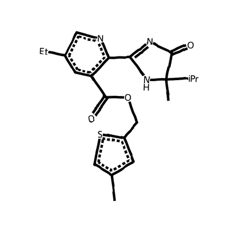 CCc1cnc(C2=NC(=O)C(C)(C(C)C)N2)c(C(=O)OCc2cc(C)cs2)c1